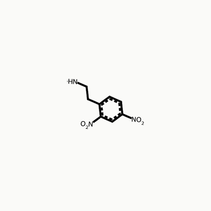 [NH]CCc1ccc([N+](=O)[O-])cc1[N+](=O)[O-]